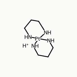 C1C[NH][Pt]2([NH]C1)[NH]CCC[NH]2.[H+]